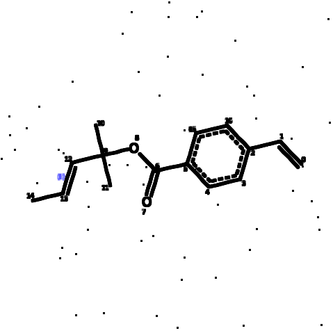 C=Cc1ccc(C(=O)OC(C)(C)/C=C/C)cc1